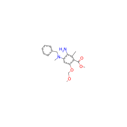 COCOc1cc(N(C)Cc2ccccc2)c(N)c(C)c1C(=O)OC